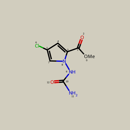 COC(=O)c1cc(Cl)cn1NC(N)=O